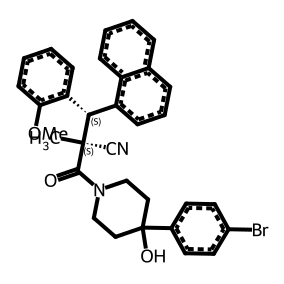 COc1ccccc1[C@H](c1cccc2ccccc12)[C@@](C)(C#N)C(=O)N1CCC(O)(c2ccc(Br)cc2)CC1